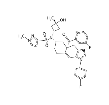 Cn1ccc(S(=O)(=O)N([C@H]2CCC3=Cc4c(cnn4-c4ccc(F)cc4)C[C@]3(C(=O)c3cc(F)ccn3)C2)[C@H]2C[C@@](C)(O)C2)n1